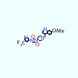 COc1ccc2c(CN3CCC(N4C(=O)CN(c5cncc(C(F)(F)F)c5)C4=O)CC3)ccnc2c1